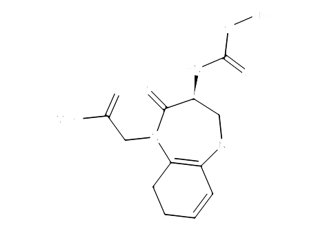 COC(=O)CN1C(=O)[C@@H](NC(=O)OC(C)(C)C)CNC2=C1CCC=C2